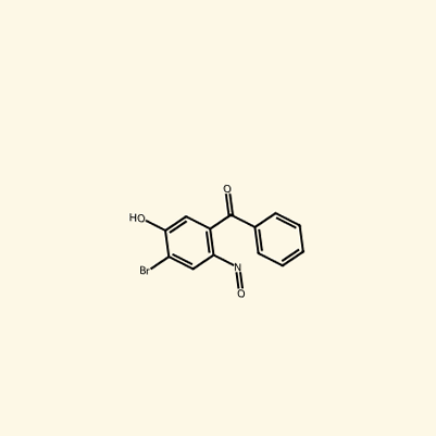 O=Nc1cc(Br)c(O)cc1C(=O)c1ccccc1